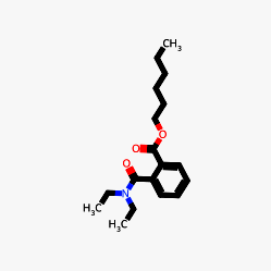 CCCCCCOC(=O)c1ccccc1C(=O)N(CC)CC